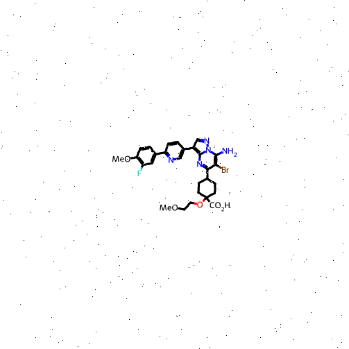 COCCOC1(C(=O)O)CCC(c2nc3c(-c4ccc(-c5ccc(OC)c(F)c5)nc4)cnn3c(N)c2Br)CC1